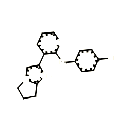 FC(F)(F)c1ccc(Nc2ncccc2-c2cn3c(n2)CCC3)cc1